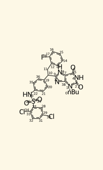 CCCCn1c(=O)[nH]c(=O)c2[nH]c(C(Cc3ccccc3F)c3ccc(NS(=O)(=O)c4cc(Cl)ccc4Cl)cc3)nc21